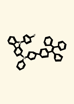 Fc1ccc(-n2c3ccccc3c3ccc(N(c4ccccc4)c4ccc(-c5ccc(C(=C(c6ccccc6)c6ccccc6)c6ccccc6)cc5)cc4)cc32)cc1